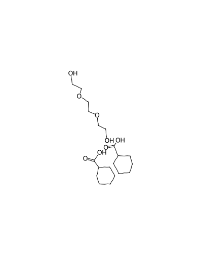 O=C(O)C1CCCCC1.O=C(O)C1CCCCC1.OCCOCCOCCO